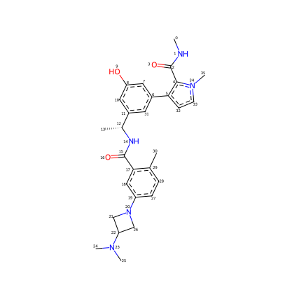 CNC(=O)c1c(-c2cc(O)cc([C@@H](C)NC(=O)c3cc(N4CC(N(C)C)C4)ccc3C)c2)ccn1C